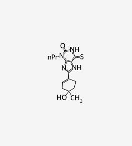 CCCn1c(=O)[nH]c(=S)c2[nH]c(C3=CCC(C)(O)CC3)nc21